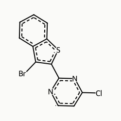 Clc1c[c]nc(-c2sc3ccccc3c2Br)n1